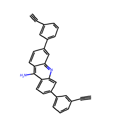 C#Cc1cccc(-c2ccc3c(N)c4ccc(-c5cccc(C#C)c5)cc4nc3c2)c1